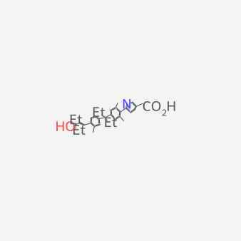 CCC(O)(C=Cc1ccc(C(CC)(CC)c2cc(C)c(-c3ccc(CC(=O)O)cn3)c(C)c2)cc1C)CC